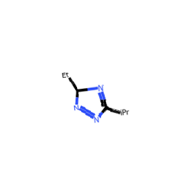 CCC1N=NC(C(C)C)=N1